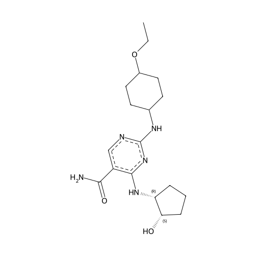 CCOC1CCC(Nc2ncc(C(N)=O)c(N[C@@H]3CCC[C@@H]3O)n2)CC1